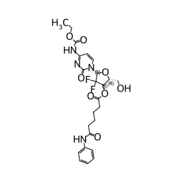 CCOC(=O)Nc1ccn([C@@H]2O[C@H](CO)[C@@H](OC(=O)CCCCC(=O)Nc3ccccc3)C2(F)F)c(=O)n1